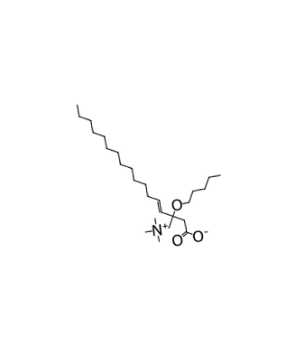 CCCCCCCCCCCCC=CC(CC(=O)[O-])(C[N+](C)(C)C)OCCCCC